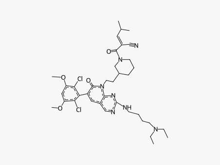 CCN(CC)CCCCNc1ncc2cc(-c3c(Cl)c(OC)cc(OC)c3Cl)c(=O)n(CCC3CCCN(C(=O)/C(C#N)=C/C(C)C)C3)c2n1